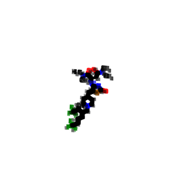 C=C(/C(=C\C=C\C(F)(F)F)CN1CCC(/C=C2\SC(=O)N=C2N[C@@H](CC(=O)N(C)C)C(=O)N(C)C)CC1)C(F)(F)F